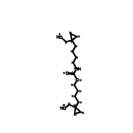 O=C(NCCCCC1(CO)CC1)OCCCCC1(CO)CC1